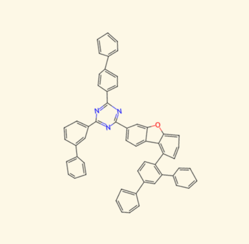 c1ccc(-c2ccc(-c3nc(-c4cccc(-c5ccccc5)c4)nc(-c4ccc5c(c4)oc4cccc(-c6ccc(-c7ccccc7)cc6-c6ccccc6)c45)n3)cc2)cc1